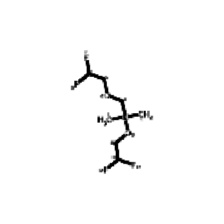 C[Si](C)(COCC(F)F)OCC(F)F